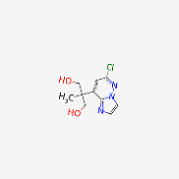 CC(CO)(CO)c1cc(Cl)nn2ccnc12